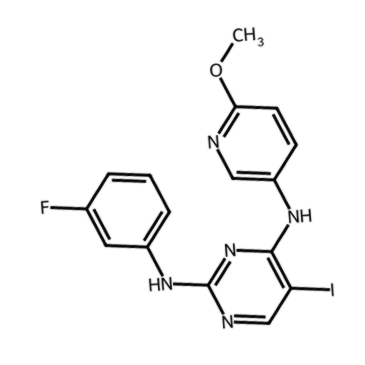 COc1ccc(Nc2nc(Nc3cccc(F)c3)ncc2I)cn1